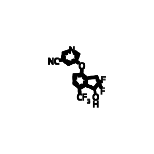 N#Cc1cncc(Oc2ccc(C(F)(F)F)c3c2CC(F)(F)[C@H]3O)c1